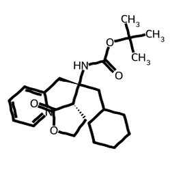 CC(C)(C)OC(=O)N[C@](Cc1ccccn1)(CC1CCCCC1)[C@@H]1CCOC1=O